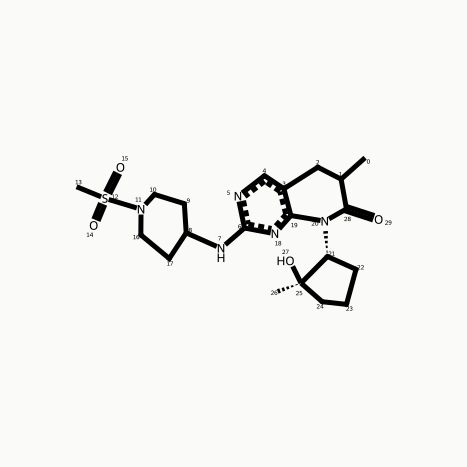 CC1Cc2cnc(NC3CCN(S(C)(=O)=O)CC3)nc2N([C@@H]2CCC[C@@]2(C)O)C1=O